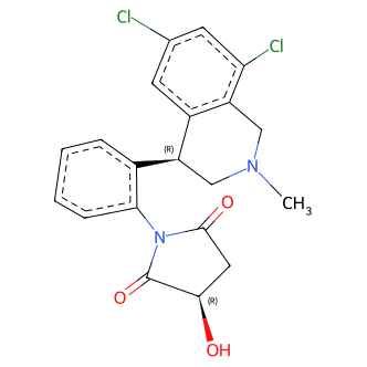 CN1Cc2c(Cl)cc(Cl)cc2[C@H](c2ccccc2N2C(=O)C[C@@H](O)C2=O)C1